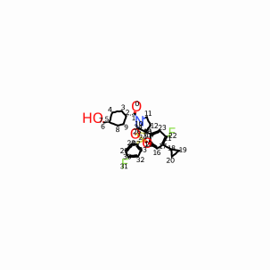 O=C([C@H]1CC[C@H](CO)CC1)N1CC[C@](c2ccc(C3CC3)c(F)c2)(S(=O)(=O)c2ccc(F)cc2)C1